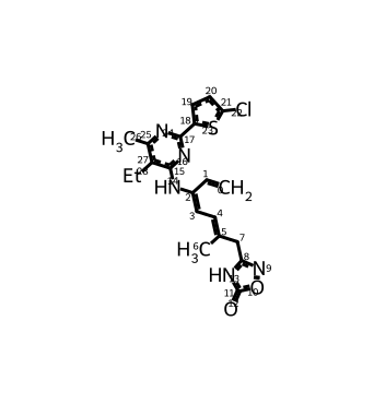 C=C/C(=C\C=C(/C)Cc1noc(=O)[nH]1)Nc1nc(-c2ccc(Cl)s2)nc(C)c1CC